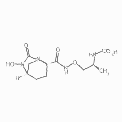 C[C@@H](CONC(=O)[C@@H]1CC[C@@H]2CN1C(=O)N2O)NC(=O)O